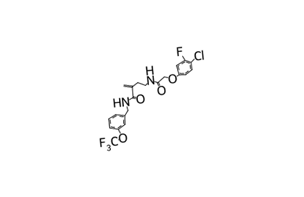 C=C(CCNC(=O)COc1ccc(Cl)c(F)c1)C(=O)NCc1cccc(OC(F)(F)F)c1